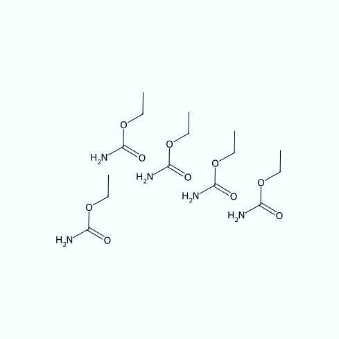 CCOC(N)=O.CCOC(N)=O.CCOC(N)=O.CCOC(N)=O.CCOC(N)=O